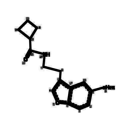 CCCCCCc1ccc2occ(CCNC(=O)C3CCC3)c2c1